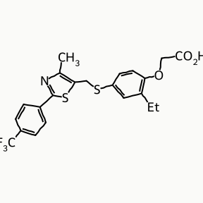 CCc1cc(SCc2sc(-c3ccc(C(F)(F)F)cc3)nc2C)ccc1OCC(=O)O